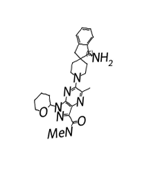 CNC(=O)c1nn(C2CCCCO2)c2nc(N3CCC4(CC3)Cc3ccccc3[C@H]4N)c(C)nc12